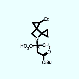 CCC1CC12CN([C@](C)(CC(=O)OCC(C)C)C(=O)O)C21CC1